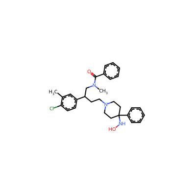 Cc1cc(C(CCN2CCC(NO)(c3ccccc3)CC2)CN(C)C(=O)c2ccccc2)ccc1Cl